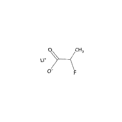 CC(F)C(=O)[O-].[Li+]